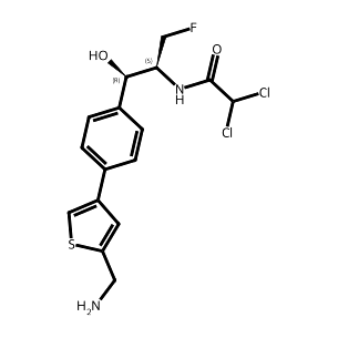 NCc1cc(-c2ccc([C@@H](O)[C@@H](CF)NC(=O)C(Cl)Cl)cc2)cs1